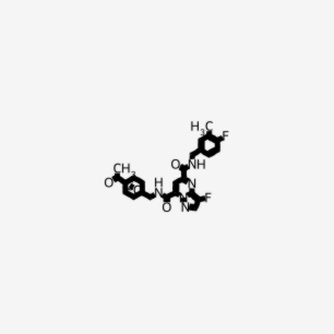 CC(=O)C12CCC(CNC(=O)c3cc(C(=O)NCc4ccc(F)c(C)c4)nc4c(F)cnn34)(CC1)CC2